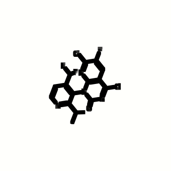 CC(C)c1nccc(C(F)F)c1-n1c(=O)nc(Cl)c2cc(F)c(Cl)nc21